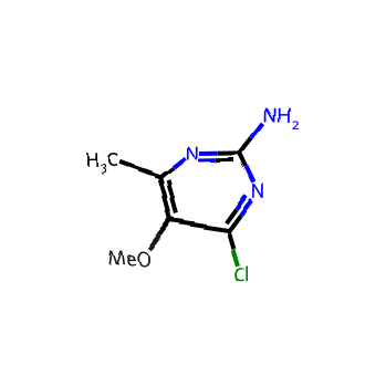 COc1c(C)nc(N)nc1Cl